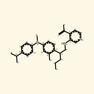 C=C(C)c1ccncc1NCC(CCC)c1ccc(N(C)c2ccc(C(C)C)cc2)cc1C